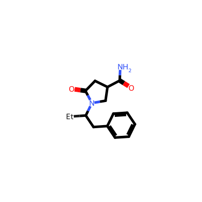 CCC(Cc1ccccc1)N1CC(C(N)=O)CC1=O